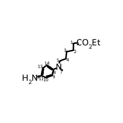 CCOC(=O)CCCCCN(C)c1ccc(N)cc1